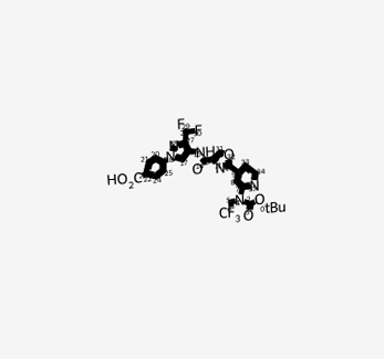 CC(C)(C)OC(=O)N(CC(F)(F)F)c1cc(-c2nc(C(=O)Nc3cn(-c4ccc(C(=O)O)cc4)nc3C(F)F)co2)ccn1